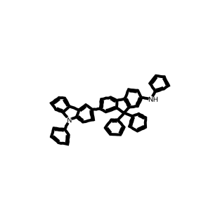 c1ccc(Nc2ccc3c(c2)C(c2ccccc2)(c2ccccc2)c2cc(-c4ccc5c(c4)c4ccccc4n5-c4ccccc4)ccc2-3)cc1